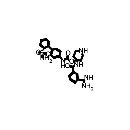 N=C(N)c1cccc(C(=O)NC2(OC(=O)Nc3ccc(-c4ccccc4S(N)(=O)=O)cc3)CCNCC2)c1